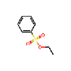 CCOS(=O)(=O)c1cc[c]cc1